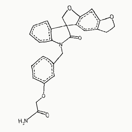 NC(=O)COc1cccc(CN2C(=O)C3(COc4cc5c(cc43)CCO5)c3ccccc32)c1